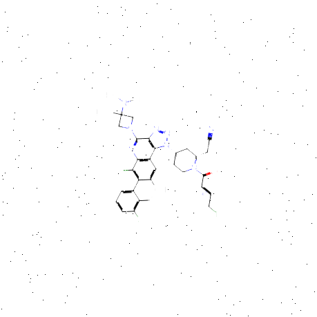 Cc1cc2c(nc(N3CC(C)(N(C)C)C3)c3nnn([C@H]4CCN(C(=O)/C=C/CF)[C@H](CC#N)C4)c32)c(F)c1-c1cccc(Cl)c1C